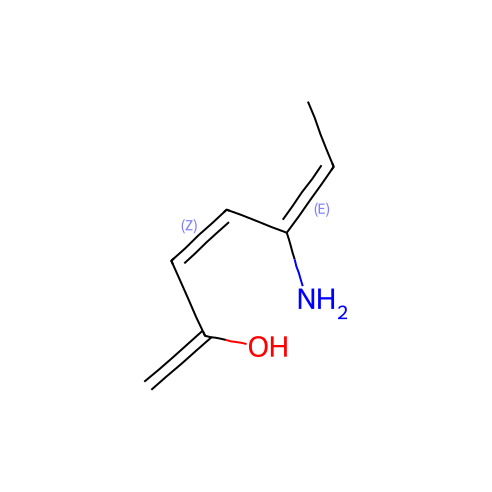 C=C(O)/C=C\C(N)=C/C